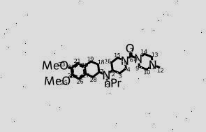 CCCN(C1CCN(C(=O)N2CCN(C)CC2)CC1)C1CCc2cc(OC)c(OC)cc2C1